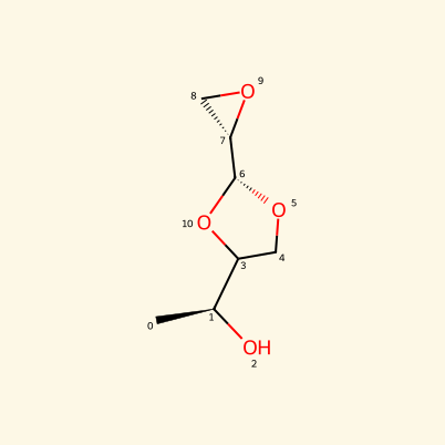 C[C@H](O)C1CO[C@@H]([C@@H]2CO2)O1